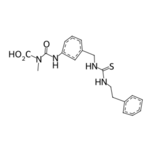 CN(C(=O)O)C(=O)Nc1cccc(CNC(=S)NCCc2ccccc2)c1